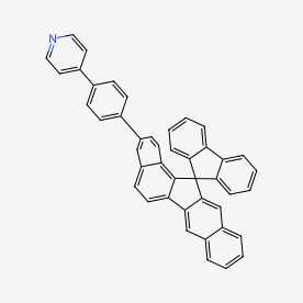 c1ccc2c(c1)-c1ccccc1C21c2cc3ccccc3cc2-c2ccc3cc(-c4ccc(-c5ccncc5)cc4)ccc3c21